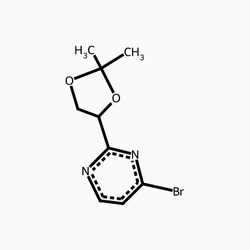 CC1(C)OCC(c2nccc(Br)n2)O1